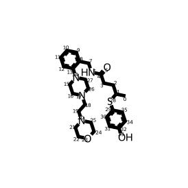 CC(CCC(=O)NCc1ccccc1N1CCN(CCN2CCOCC2)CC1)Sc1ccc(O)cc1